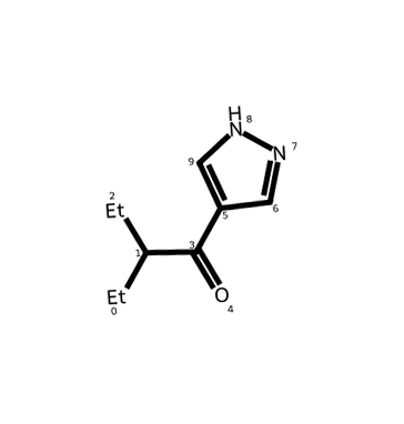 CCC(CC)C(=O)c1cn[nH]c1